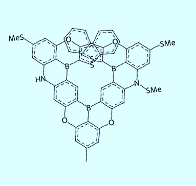 CSc1cc2c3c(c1)Oc1c(sc4ccccc14)B3c1cc3c(cc1N2)Oc1cc(C)cc2c1B3c1cc3c(cc1O2)N(SC)c1cc(SC)cc2c1B3c1sc3ccccc3c1O2